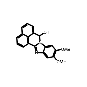 COc1cc2nc3n(c2cc1OC)C(O)c1cccc2cccc-3c12